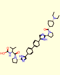 CCN(CC)[C@H]1CC[C@@H](C(=O)N2CCC[C@H]2c2ncc(C3C=CC(C4=CCC(c5cnc([C@@H]6CCCN6C(=O)[C@@H](NC(=O)O)C(C)C)[nH]5)C=C4)=CC3)[nH]2)CC1